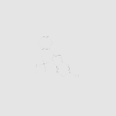 Cc1ccc2c(c1)cc(-c1ccccc1)[s+]2C(F)(F)F.[Br-]